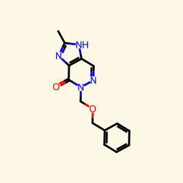 Cc1nc2c(=O)n(COCc3ccccc3)ncc2[nH]1